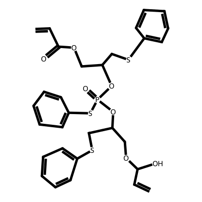 C=CC(=O)OCC(CSc1ccccc1)OP(=O)(OC(COC(O)C=C)CSc1ccccc1)Sc1ccccc1